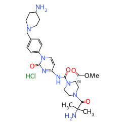 COC(=O)[C@@H]1CN(C(=O)C(C)(C)N)CCN1C(=O)Nc1ccn(-c2ccc(CN3CCC(N)CC3)cc2)c(=O)n1.Cl